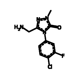 Cn1nc(CN)n(-c2ccc(Cl)c(F)c2)c1=O